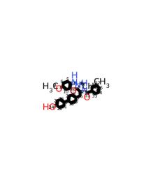 CCN(Nc1ccc(OC)cc1)C(=O)C(Cc1ccc(-c2ccc(O)cc2)cc1)NC(=O)c1cccc(C)c1